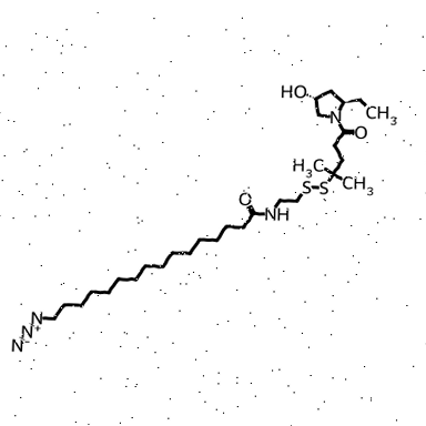 CC[C@@H]1C[C@@H](O)CN1C(=O)CCC(C)(C)SSCCNC(=O)CCCCCCCCCCCCCCCN=[N+]=[N-]